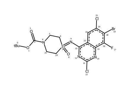 CC(C)(C)OC(=O)N1CCS(=O)(=Nc2nc(Cl)nc3c(F)c(Br)c(Cl)cc23)CC1